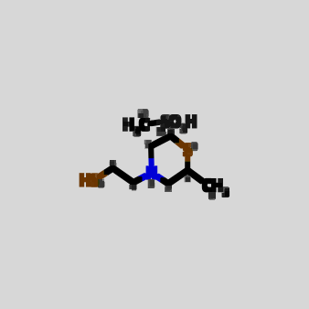 CC1CN(CCS)CCS1.CS(=O)(=O)O